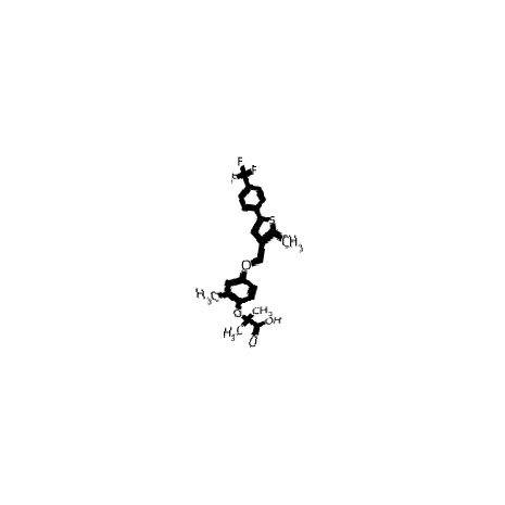 Cc1cc(OCc2cc(-c3ccc(C(F)(F)F)cc3)sc2C)ccc1OC(C)(C)C(=O)O